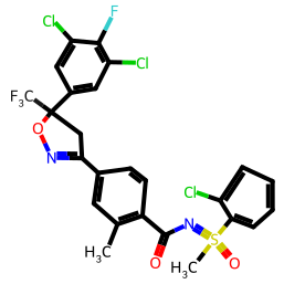 Cc1cc(C2=NOC(c3cc(Cl)c(F)c(Cl)c3)(C(F)(F)F)C2)ccc1C(=O)N=S(C)(=O)c1ccccc1Cl